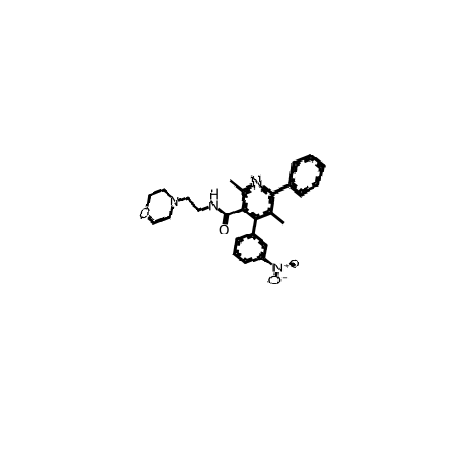 Cc1nc(-c2ccccc2)c(C)c(-c2cccc([N+](=O)[O-])c2)c1C(=O)NCCN1CCOCC1